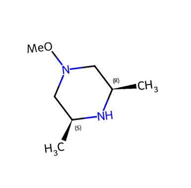 CON1C[C@@H](C)N[C@@H](C)C1